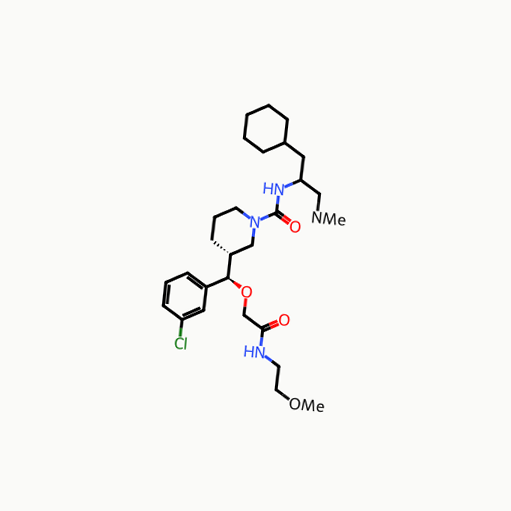 CNCC(CC1CCCCC1)NC(=O)N1CCC[C@@H]([C@@H](OCC(=O)NCCOC)c2cccc(Cl)c2)C1